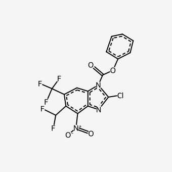 O=C(Oc1ccccc1)n1c(Cl)nc2c([N+](=O)[O-])c(C(F)F)c(C(F)(F)F)cc21